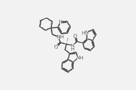 C[C@@](Cc1c[nH]c2ccccc12)(NC(=O)c1cccc2cc[nH]c12)C(=O)NCC1(c2ccccn2)CCCCC1